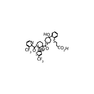 CCC[C@H]1N(C(=O)c2ncccc2C(F)(F)F)CCC[C@@]1(Oc1csc(C(F)(F)F)c1)C(=O)N1CCC(O)(c2ccccc2SCCC(=O)O)CC1